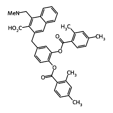 CNCc1c(C(=O)O)c(Cc2ccc(OC(=O)c3ccc(C)cc3C)c(OC(=O)c3ccc(C)cc3C)c2)cc2ccccc12